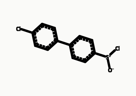 [O-][S+](Cl)c1ccc(-c2ccc(Cl)cc2)cc1